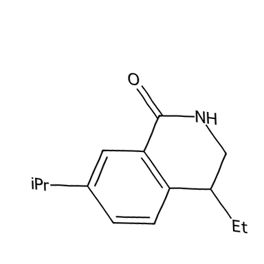 CCC1CNC(=O)c2cc(C(C)C)ccc21